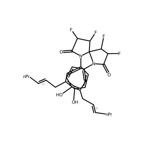 CCC/C=C/Cc1cc(N2C(=O)C(F)C(F)C23C(F)C(F)C(=O)N3c2ccc(O)c(C/C=C/CCC)c2)ccc1O